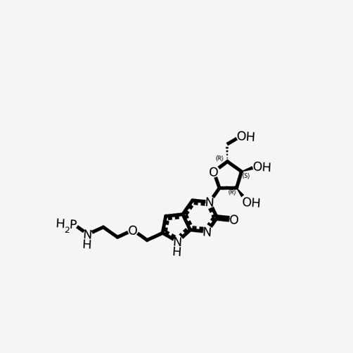 O=c1nc2[nH]c(COCCNP)cc2cn1C1O[C@H](CO)[C@@H](O)[C@H]1O